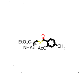 CCOC(=O)[C@H](CSC(=O)c1ccc(C)cc1OC(C)=O)NC(C)=O